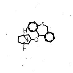 CN1[C@@H]2CC[C@H]1CC(OC1c3ccccc3CSc3ccccc31)C2